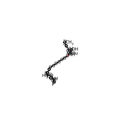 Cc1ncsc1-c1ccc(CNC(=O)[C@@H]2C[C@@H](O)CN2C(=O)[C@@H](NC(=O)COCCOCCOCCOCCOCCOCCOc2ccc(-c3cnc4[nH]cc(C(=O)c5c(F)ccc(NS(=O)(=O)N6CC[C@@H](F)C6)c5F)c4c3)cc2)C(C)(C)C)cc1